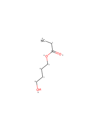 N#CCC(=O)OCCCCO